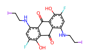 O=C1c2c(NCCI)cc(F)c(O)c2C(=O)c2c(NCCI)cc(F)c(O)c21